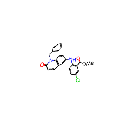 COC(=O)c1cc(Cl)ccc1Nc1ccc2c(ccc(=O)n2Cc2ccccc2)c1